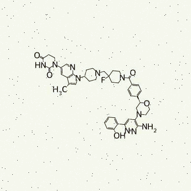 Cc1cn(C2CCN(CC3(F)CCN(C(=O)c4ccc([C@@H]5CN(c6cc(-c7ccccc7O)nnc6N)CCO5)cc4)CC3)CC2)c2ncc(N3CCC(=O)NC3=O)cc12